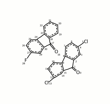 O=C1c2cc(Cl)ccc2-c2ccc(Cl)cc21.O=C1c2ccccc2-c2ccc(F)cc21